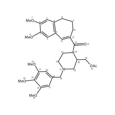 COc1cc2c(cc1OC)CCCC(C(=O)N1CCN(Cc3cc(OC)c(OC)c(OC)c3)CC1COC(C)=O)=C2